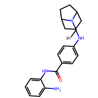 CC(C)CN1C2CCC1CC(Nc1ccc(C(=O)Nc3ccccc3N)cc1)C2